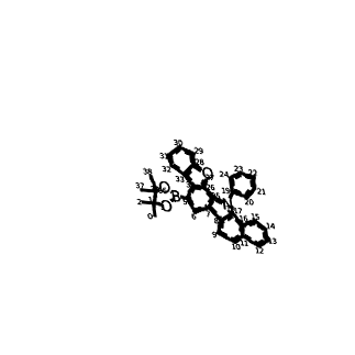 CC1(C)OB(c2cc3c4ccc5ccccc5c4n(-c4ccccc4)c3c3oc4ccccc4c23)OC1(C)C